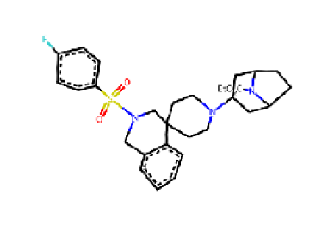 CCOC(=O)N1C2CCC1CC(N1CCC3(CC1)CN(S(=O)(=O)c1ccc(F)cc1)Cc1ccccc13)C2